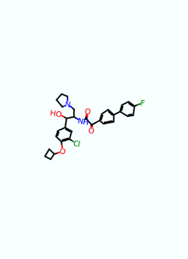 O=C(NC(CN1CCCC1)C(O)c1ccc(OC2CCC2)c(Cl)c1)C(=O)c1ccc(-c2ccc(F)cc2)cc1